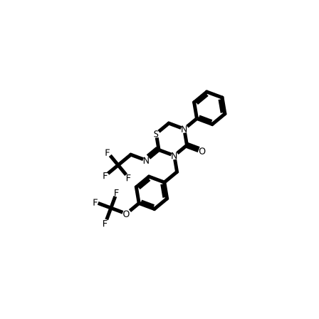 O=C1N(Cc2ccc(OC(F)(F)F)cc2)C(=NCC(F)(F)F)SCN1c1ccccc1